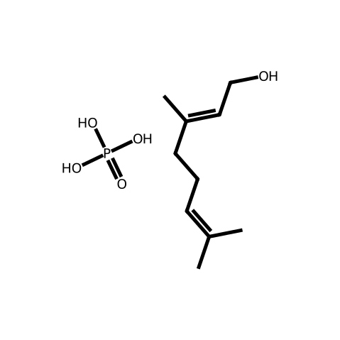 CC(C)=CCCC(C)=CCO.O=P(O)(O)O